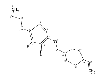 C=CCOc1ccc(OCC2CCC(C=C)CC2)c(F)c1F